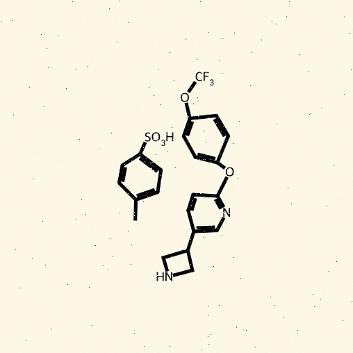 Cc1ccc(S(=O)(=O)O)cc1.FC(F)(F)Oc1ccc(Oc2ccc(C3CNC3)cn2)cc1